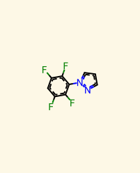 Fc1cc(F)c(F)c(-n2cccn2)c1F